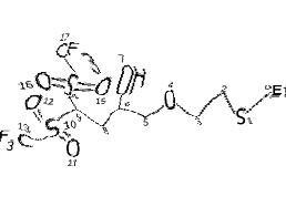 CCSCCOCC(O)CC(S(=O)(=O)C(F)(F)F)S(=O)(=O)C(F)(F)F